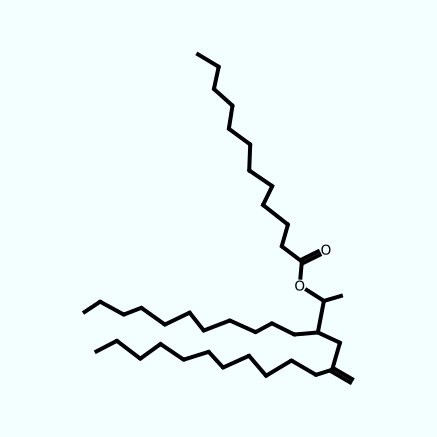 C=C(CCCCCCCCCCC)CC(CCCCCCCCCCC)C(C)OC(=O)CCCCCCCCCCC